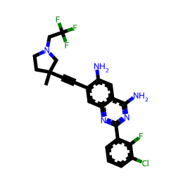 CC1(C#Cc2cc3nc(-c4cccc(Cl)c4F)nc(N)c3cc2N)CCN(CC(F)(F)F)C1